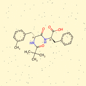 Cc1cccc(C[C@@H](NC(=O)C(C)(C)C)C(=O)N[C@H](Cc2ccccc2)C(=O)O)c1